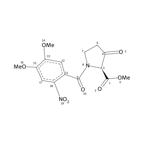 COC(=O)[C@@H]1C(=O)CCN1C(=O)c1cc(OC)c(OC)cc1[N+](=O)[O-]